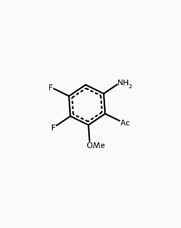 COc1c(F)c(F)cc(N)c1C(C)=O